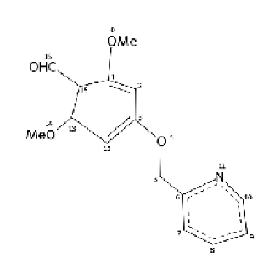 COC1=CC(OCc2ccccn2)=CC(OC)C1C=O